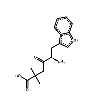 CC(C)(CC(=O)[C@H](N)Cc1c[nH]c2ccccc12)C(=O)O